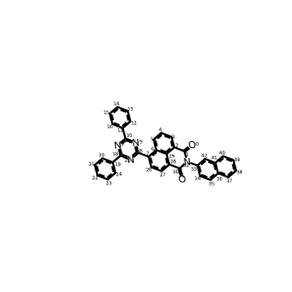 O=C1c2cccc3c(-c4nc(-c5ccccc5)nc(-c5ccccc5)n4)ccc(c23)C(=O)N1c1ccc2ccccc2c1